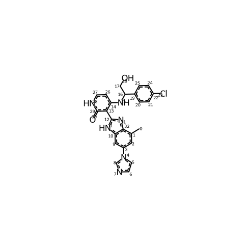 Cc1cc(-n2ccnc2)cc2[nH]c(-c3c(NC(CO)c4ccc(Cl)cc4)cc[nH]c3=O)nc12